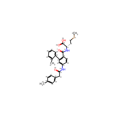 CSCC[C@H](NC(=O)c1ccc(NC(=O)Cc2ccc(C)cc2)cc1-c1ccccc1C)C(=O)O